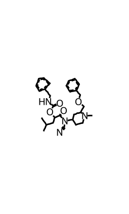 CC(C)CC(OC(=O)NCc1ccccc1)C(=O)N(C#N)C1CCN(C)C(COCc2ccccc2)C1